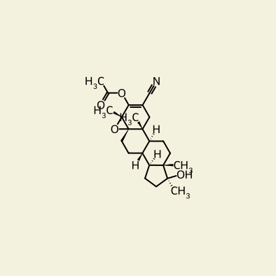 CC(=O)OC1=C(C#N)C[C@]2(C)[C@H]3CC[C@@]4(C)[C@@H](CC[C@]4(C)O)[C@@H]3CC[C@]23O[C@]13C